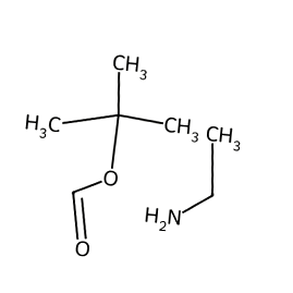 CC(C)(C)OC=O.CCN